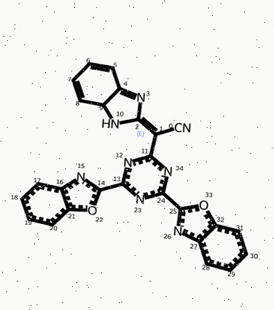 N#C/C(=C1\N=C2C=CC=CC2N1)c1nc(-c2nc3ccccc3o2)nc(-c2nc3ccccc3o2)n1